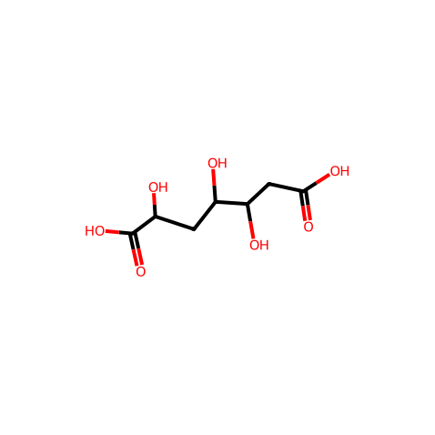 O=C(O)CC(O)C(O)CC(O)C(=O)O